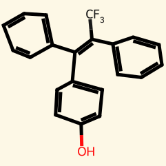 Oc1ccc(C(=C(c2ccccc2)C(F)(F)F)c2ccccc2)cc1